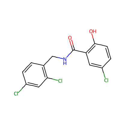 O=C(NCc1ccc(Cl)cc1Cl)c1cc(Cl)ccc1O